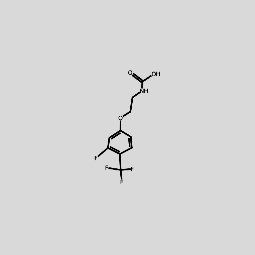 O=C(O)NCCOc1ccc(C(F)(F)F)c(F)c1